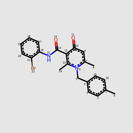 Cc1ccc(Cn2c(C)cc(=O)c(C(=O)Nc3ccccc3Br)c2C)cc1